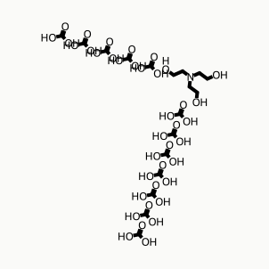 O=C(O)O.O=C(O)O.O=C(O)O.O=C(O)O.O=C(O)O.O=C(O)O.O=C(O)O.O=C(O)O.O=C(O)O.O=C(O)O.O=C(O)O.O=C(O)O.OCCN(CCO)CCO